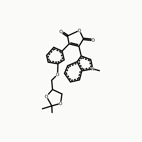 Cn1cc(C2=C(c3cccc(OCC4COC(C)(C)O4)c3)C(=O)OC2=O)c2ccccc21